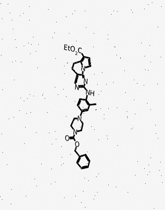 CCOC(=O)c1ccn2c1CCc1cnc(Nc3ccc(N4CCN(C(=O)OCc5ccccc5)CC4)cc3C)nc1-2